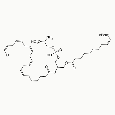 CC/C=C\C/C=C\C/C=C\C/C=C\C/C=C\C/C=C\CCC(=O)O[C@H](COC(=O)CCCCCCC/C=C\CCCCC)COP(=O)(O)OC[C@H](N)C(=O)O